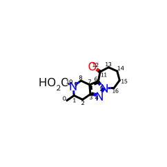 CC1Cc2nn3c(c2CN1C(=O)O)C(=O)CCCC3